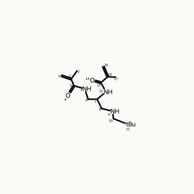 C=C(C)C(=O)NCC(CNCC(C)(C)C)NC(=O)C(=C)C